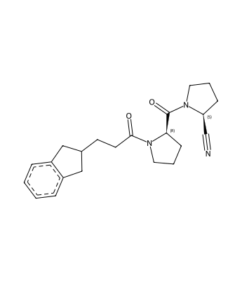 N#C[C@@H]1CCCN1C(=O)[C@H]1CCCN1C(=O)CCC1Cc2ccccc2C1